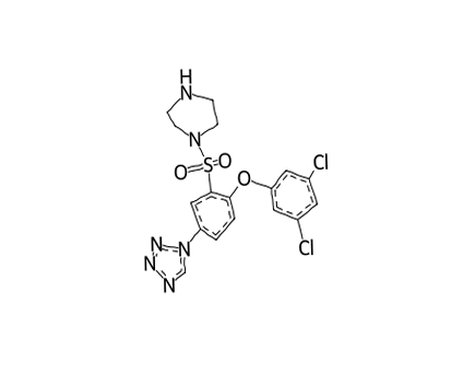 O=S(=O)(c1cc(-n2cnnn2)ccc1Oc1cc(Cl)cc(Cl)c1)N1CCNCC1